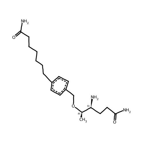 C[C@@H](OCc1ccc(CCCCCCC(N)=O)cc1)[C@@H](N)CCC(N)=O